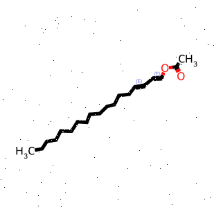 CCCCCCCCCCCCCC/C=C/C=C/OC(C)=O